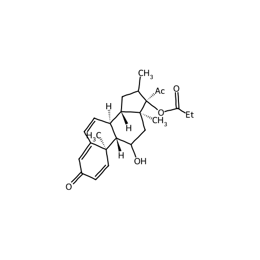 CCC(=O)O[C@]1(C(C)=O)C(C)C[C@H]2[C@@H]3C=CC4=CC(=O)C=C[C@]4(C)[C@H]3C(O)C[C@@]21C